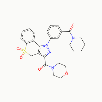 O=C(c1cccc(-n2nc(C(=O)N3CCOCC3)c3c2-c2ccccc2S(=O)(=O)C3)c1)N1CCCCC1